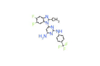 Cc1nc2cc(F)c(F)cc2n1-c1cc(N)nc(Nc2ccc(C(F)(F)F)cc2)n1